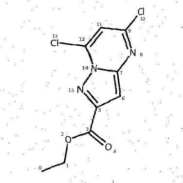 CCOC(=O)c1cc2nc(Cl)cc(Cl)n2n1